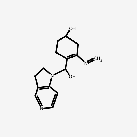 C=NC1=C(C(O)N2CCc3cnccc32)CCC(O)C1